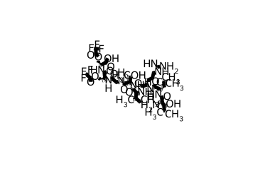 CC[C@H](C)[C@H](NC(=O)[C@@H](CCCNC(=N)N)NC(=O)[C@H](CC(C)(C)C)NC(=O)[C@@H](N)[C@H](O)C(C)C)C(=O)N[C@H](C(=O)NCC(=O)N[C@@H](COC(=O)C(F)(F)F)C(=O)N[C@@H](COC(=O)C(F)(F)F)C(=O)O)[C@H](C)O